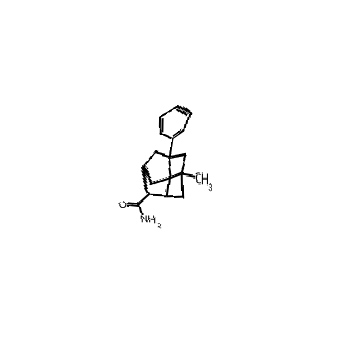 CC12CC3C(C(N)=O)C4CC(c5ccccc5)(C1)C32C4